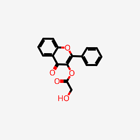 O=C(CO)Oc1c(-c2ccccc2)oc2ccccc2c1=O